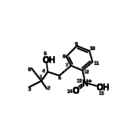 CC(C)(C)C(O)Cc1ccccc1[N+](=O)O